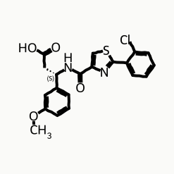 COc1cccc([C@H](CC(=O)O)NC(=O)c2csc(-c3ccccc3Cl)n2)c1